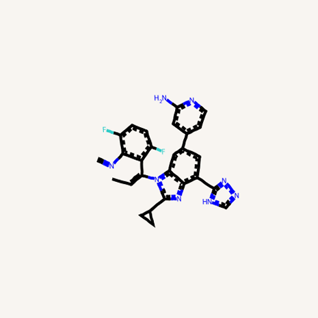 C=Nc1c(F)ccc(F)c1/C(=C\C)n1c(C2CC2)nc2c(-c3nnc[nH]3)cc(-c3ccnc(N)c3)cc21